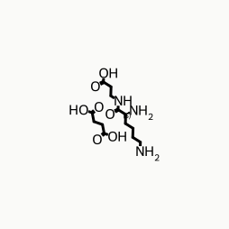 NCCCC[C@H](N)C(=O)NCCC(=O)O.O=C(O)CCC(=O)O